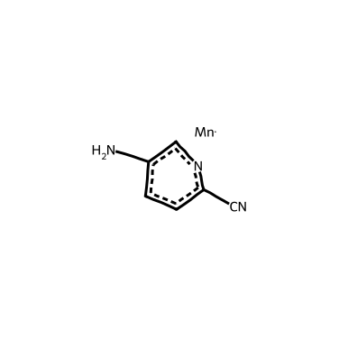 N#Cc1ccc(N)cn1.[Mn]